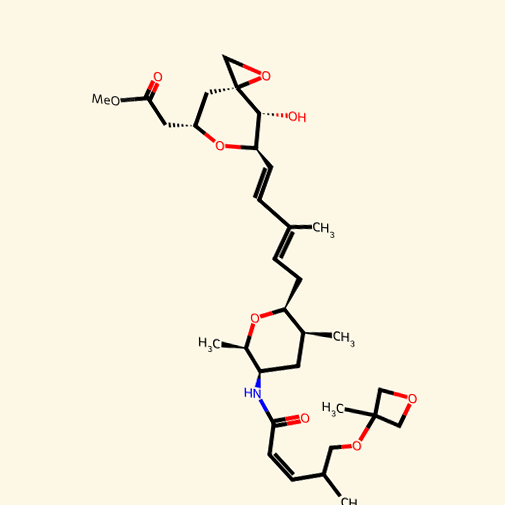 COC(=O)C[C@@H]1C[C@@]2(CO2)[C@H](O)[C@@H](/C=C/C(C)=C/C[C@@H]2O[C@H](C)[C@H](NC(=O)/C=C\C(C)COC3(C)COC3)C[C@@H]2C)O1